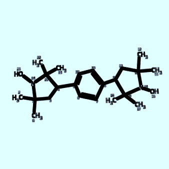 CC1(C)CC(c2ccc(C3CC(C)(C)N(O)C3(C)C)cc2)C(C)(C)N1O